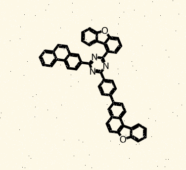 c1ccc2c(c1)ccc1cc(-c3nc(-c4ccc(-c5ccc6c(ccc7oc8ccccc8c76)c5)cc4)nc(-c4cccc5oc6ccccc6c45)n3)ccc12